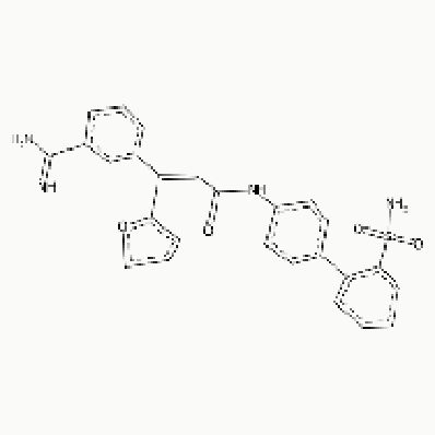 N=C(N)c1cccc(/C(=C/C(=O)Nc2ccc(-c3ccccc3S(N)(=O)=O)cc2)c2ccco2)c1